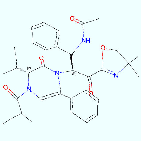 CC(=O)NC(c1ccccc1)[C@@H](C(=O)C1=NC(C)(C)CO1)N1C(=O)[C@@H](C(C)C)N(C(=O)C(C)C)C=C1c1ccccc1